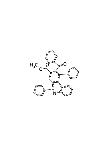 COC(=O)c1cc2c(-c3ccccc3)nc3ccccc3c2c(-c2ccccc2)c1C(=O)c1ccccc1